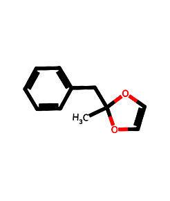 CC1(Cc2ccccc2)OC=CO1